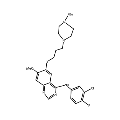 COc1cc2ncnc(Nc3ccc(F)c(Cl)c3)c2cc1OCCCN1CCN(C(C)(C)C)CC1